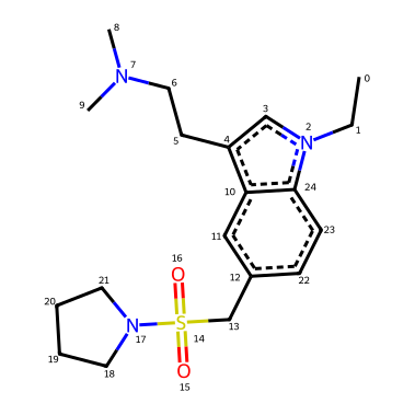 CCn1cc(CCN(C)C)c2cc(CS(=O)(=O)N3CCCC3)ccc21